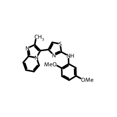 COc1ccc(OC)c(Nc2nc(-c3c(C)nc4ccccn34)cs2)c1